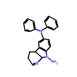 NN1c2ccc(N(c3ccccc3)c3ccccc3)cc2C2CCC=NC21